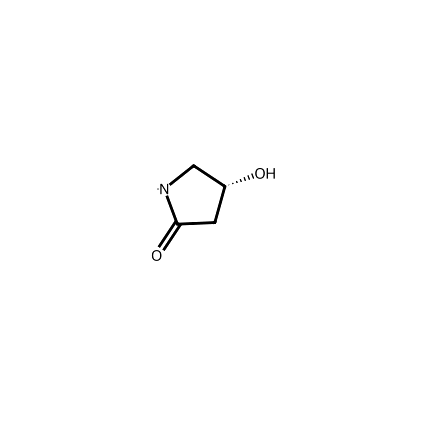 O=C1C[C@@H](O)C[N]1